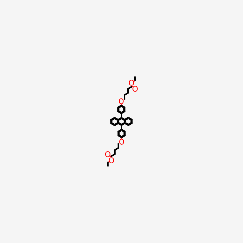 CCOC(=O)CCCCOc1ccc(-c2c3ccccc3c(-c3ccc(OCCCCC(=O)OCC)cc3)c3ccccc23)cc1